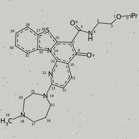 CC(C)OCCNC(=O)c1c(=O)c2ccc(N3CCCN(C)CC3)nc2n2c1sc1ccccc12